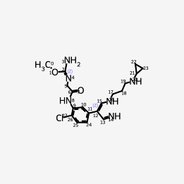 CO/C(N)=N\CC(=O)Nc1cc(/C(C=N)=C/NCCCNC2CC2)ccc1Cl